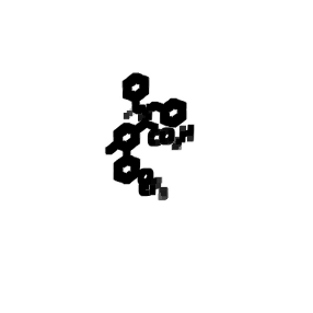 Cc1ccc([C@H](CC(=O)O)N(Cc2ccccc2)[C@H](C)c2ccccc2)cc1-c1cccc(OC(F)(F)F)c1